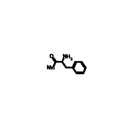 N[C@@H](Cc1ccccc1)[C](=O)[Mn]